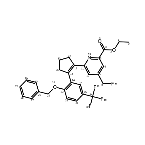 CCOC(=O)c1cc(CF)cc(C2=C(c3cc(C(F)(F)F)ccc3OCc3ccccc3)CCC2)n1